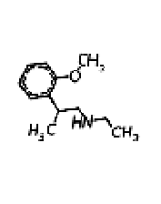 CCNCC(C)c1ccccc1OC